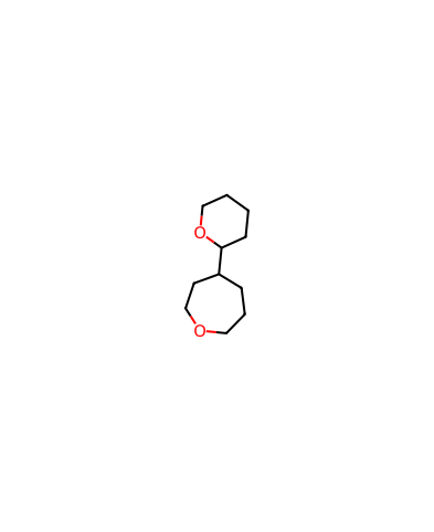 C1CCC(C2CCCOCC2)OC1